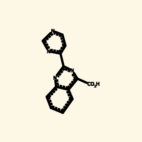 O=C(O)c1nc(-c2ccncn2)nc2ccccc12